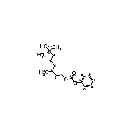 CC(CCCC(C)(C)O)CCOC(=O)Oc1ccccc1